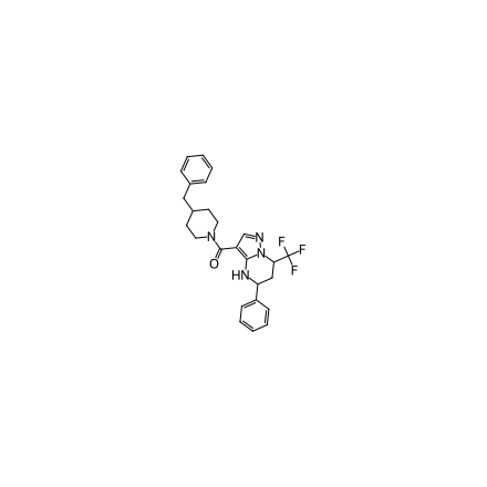 O=C(c1cnn2c1NC(c1ccccc1)CC2C(F)(F)F)N1CCC(Cc2ccccc2)CC1